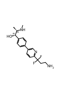 CN[C@H](C)[C@H](O)c1ccc(-c2ccc(C(F)(F)CCN)nc2)cc1